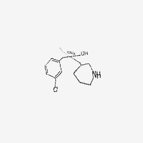 C[C@@](O)(c1cccc(Cl)c1)C1CCCNC1